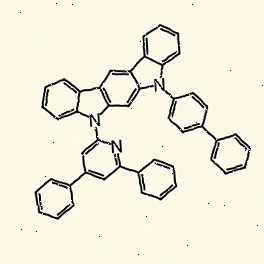 c1ccc(-c2ccc(-n3c4ccccc4c4cc5c6ccccc6n(-c6cc(-c7ccccc7)cc(-c7ccccc7)n6)c5cc43)cc2)cc1